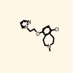 CN1CCc2c(Cl)ccc(OCCn3cccn3)c2CC1